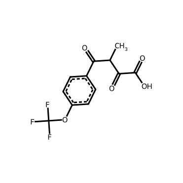 CC(C(=O)C(=O)O)C(=O)c1ccc(OC(F)(F)F)cc1